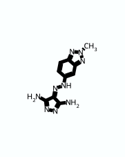 Cn1nc2ccc(NN=C3C(N)=NN=C3N)cc2n1